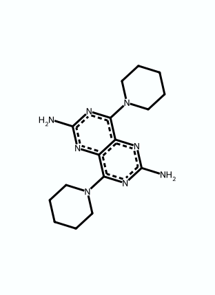 Nc1nc(N2CCCCC2)c2nc(N)nc(N3CCCCC3)c2n1